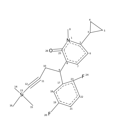 Cn1c(C2CC2)ccc(C(CC#C[Si](C)(C)C)c2cc(F)ccc2F)c1=O